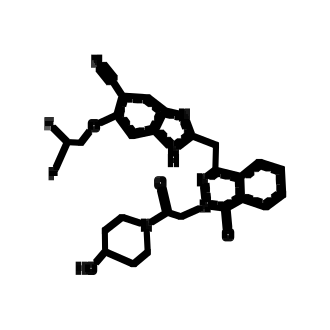 N#Cc1cc2nc(Cc3nn(CC(=O)N4CCC(O)CC4)c(=O)c4ccccc34)[nH]c2cc1OCC(F)F